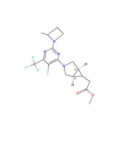 COC(=O)CC1[C@H]2CN(c3nc(N4CCC4C)nc(C(F)(F)F)c3I)C[C@@H]12